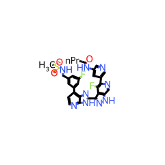 CCCC(=O)Nc1cncc(-c2ncc3[nH]nc(-c4nc5c(-c6cc(F)cc(CNS(C)(=O)=O)c6)ccnc5[nH]4)c3c2F)c1